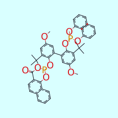 COc1cc(-c2cc(OC)cc(C(C)(C)C)c2OP2OC(=O)c3ccc4ccccc4c3O2)c(OP(Oc2ccccc2)Oc2ccccc2)c(C(C)(C)C)c1